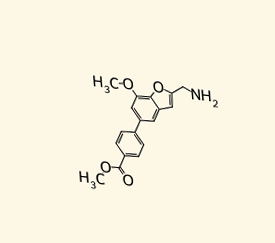 COC(=O)c1ccc(-c2cc(OC)c3oc(CN)cc3c2)cc1